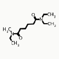 CCN(C)C(=O)CCCCC(=O)N(CC)CC